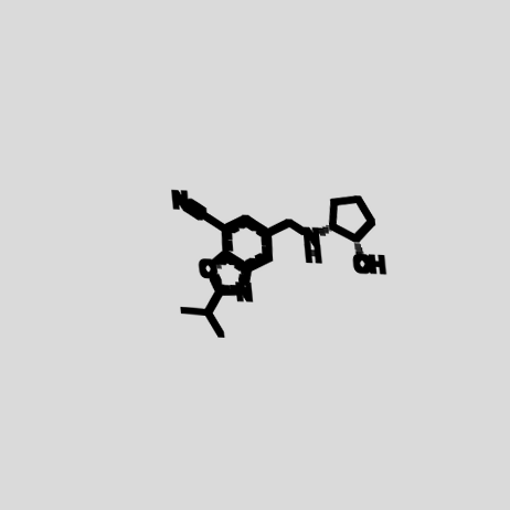 CC(C)c1nc2cc(CN[C@@H]3CCC[C@@H]3O)cc(C#N)c2o1